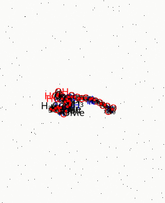 CC[C@H](C)[C@@H]([C@@H](CC(=O)N1CCC[C@H]1[C@H](OC)[C@@H](C)C(=O)N[C@H](C)[C@@H](O)c1ccccc1)OC)N(C)C(=O)[C@@H](NC(=O)[C@H](C(C)C)N(C)C(=O)OCc1ccc(O[C@@H]2O[C@H](CO)[C@H](O)[C@H](O)[C@H]2O)c2cc(CCC(=O)NCCOCCOCCOCCn3cc(COCCOCCOCCOCCN4C(=O)C=CC4=O)nn3)oc12)C(C)C